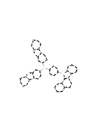 c1ccc2c(c1)ccc1c3ccccc3n(-c3ccc(N(c4ccc5c(c4)oc4ccccc45)c4ccc5c(c4)sc4ccccc45)cc3)c21